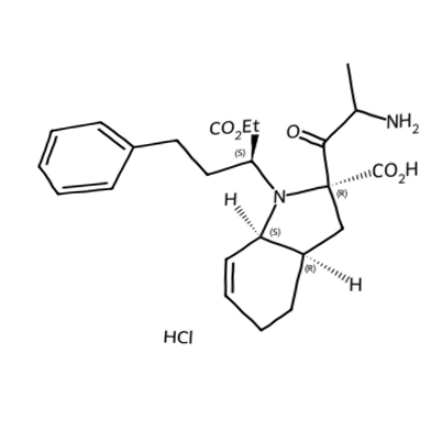 CCOC(=O)[C@H](CCc1ccccc1)N1[C@@H]2C=CCC[C@@H]2C[C@]1(C(=O)O)C(=O)C(C)N.Cl